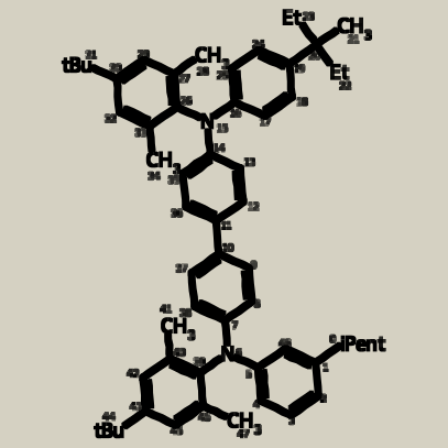 CCCC(C)c1cccc(N(c2ccc(-c3ccc(N(c4ccc(C(C)(CC)CC)cc4)c4c(C)cc(C(C)(C)C)cc4C)cc3)cc2)c2c(C)cc(C(C)(C)C)cc2C)c1